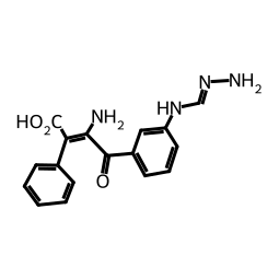 NN=CNc1cccc(C(=O)C(N)=C(C(=O)O)c2ccccc2)c1